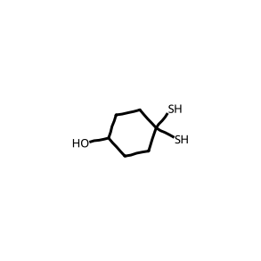 OC1CCC(S)(S)CC1